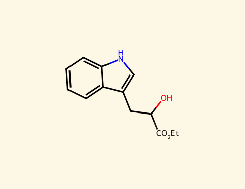 CCOC(=O)C(O)Cc1c[nH]c2ccccc12